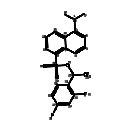 CN(C)c1cccc2c(S(=O)(=O)OC(c3ccc(F)cc3F)C(F)(F)F)cccc12